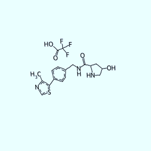 Cc1ncsc1-c1ccc(CNC(=O)C2CC(O)CN2)cc1.O=C(O)C(F)(F)F